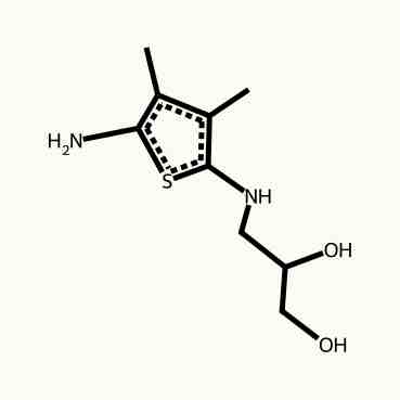 Cc1c(N)sc(NCC(O)CO)c1C